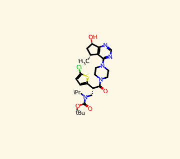 CC(C)N(C[C@@H](C(=O)N1CCN(c2ncnc3c2[C@H](C)C[C@H]3O)CC1)c1ccc(Cl)s1)C(=O)OC(C)(C)C